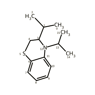 CC(C)C1CSc2ccccc2N1C(C)C